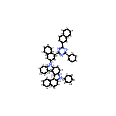 c1ccc(-c2nc(-c3ccc4ccccc4c3)nc(-c3cc(-n4c5ccccc5c5c6c7c8ccccc8ccc7n(-c7ccccc7)c6ccc54)cc4ccccc34)n2)cc1